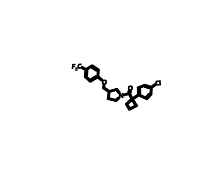 O=C(N1CCC(COc2ccc(C(F)(F)F)cc2)C1)C1(c2ccc(Cl)cc2)CCC1